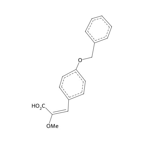 COC(=Cc1ccc(OCc2ccccc2)cc1)C(=O)O